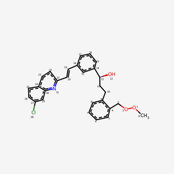 COOCc1ccccc1CC[C@H](O)c1cccc(/C=C/c2ccc3ccc(Cl)cc3n2)c1